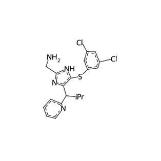 CC(C)C(c1ccccn1)c1nc(CN)[nH]c1Sc1cc(Cl)cc(Cl)c1